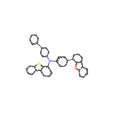 c1ccc(-c2ccc(N(c3ccc(-c4cccc5c4oc4ccccc45)cc3)c3cccc4c3sc3ccccc34)cc2)cc1